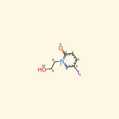 O=c1ccc(I)cn1CCO